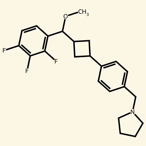 COC(c1ccc(F)c(F)c1F)C1CC(c2ccc(CN3CCCC3)cc2)C1